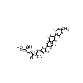 CN1CCN(c2ccc3cc(-c4ccc(/C=C(\C#N)C(=O)NCC(O)CO)s4)ccc3c2)CC1